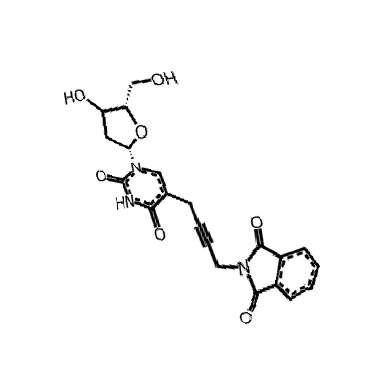 O=C1c2ccccc2C(=O)N1CC#CCc1cn([C@@H]2CC(O)[C@H](CO)O2)c(=O)[nH]c1=O